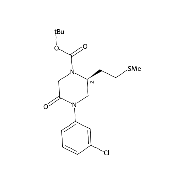 CSCC[C@H]1CN(c2cccc(Cl)c2)C(=O)CN1C(=O)OC(C)(C)C